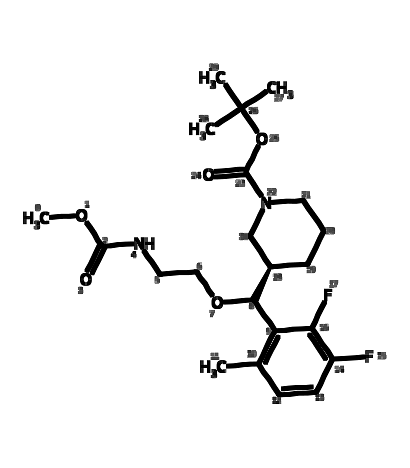 COC(=O)NCCOC(c1c(C)ccc(F)c1F)[C@@H]1CCCN(C(=O)OC(C)(C)C)C1